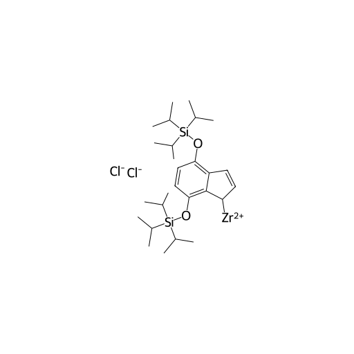 CC(C)[Si](Oc1ccc(O[Si](C(C)C)(C(C)C)C(C)C)c2c1C=C[CH]2[Zr+2])(C(C)C)C(C)C.[Cl-].[Cl-]